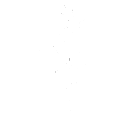 CCCOC(=O)C[C@@H](Cc1ccccc1F)NC(=O)c1cc(CCC)n(Cc2ccc(-c3ccccc3-c3nnn[nH]3)nc2)n1